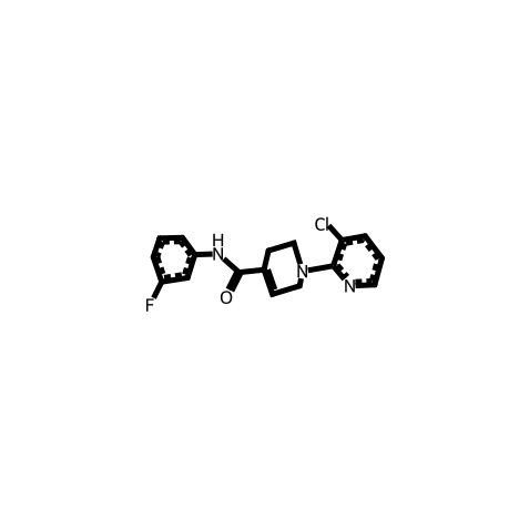 O=C(Nc1cccc(F)c1)C1=CCN(c2ncccc2Cl)CC1